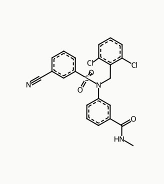 CNC(=O)c1cccc(N(Cc2c(Cl)cccc2Cl)S(=O)(=O)c2cccc(C#N)c2)c1